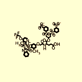 Cc1cc(OCC(=O)NC(CCC(=O)O)C(=O)OC(CCS(=O)(=O)c2cccc([N+](=O)[O-])c2)CS(=O)(=O)c2cccc([N+](=O)[O-])c2)cc(C)c1S(=O)(=O)n1c([S+]([O-])Cc2nccc(OCC(F)(F)F)c2C)nc2ccccc21